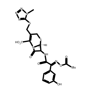 Cn1nnnc1SCC1=C(C(=O)O)N2C(=O)C(NC(=O)C(=NOC(=O)C(C)(C)C)c3cccc(O)c3)[C@@H]2SC1